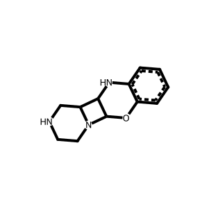 c1ccc2c(c1)NC1C3CNCCN3C1O2